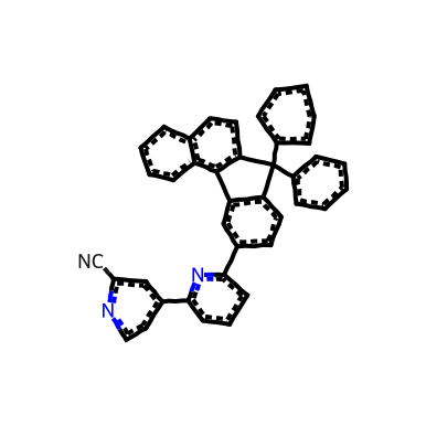 N#Cc1cc(-c2cccc(-c3ccc4c(c3)-c3c(ccc5ccccc35)C4(c3ccccc3)c3ccccc3)n2)ccn1